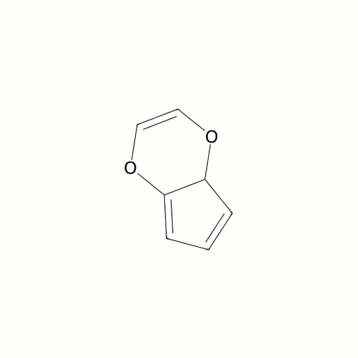 C1=CC2OC=COC2=C1